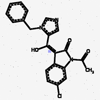 CC(=O)N1C(=O)/C(=C(/O)c2cncn2Cc2ccccc2)c2ccc(Cl)cc21